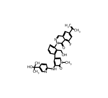 C=C(C)c1cc(F)c2c(=O)n(-c3cccc(-c4cc(Nc5ccc(C(C)(C)O)cn5)c(=O)n(C)c4)c3CO)ncc2c1